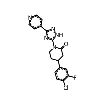 O=C1CC(c2ccc(Cl)c(F)c2)CCN1c1nc(-c2ccncc2)n[nH]1